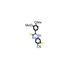 COc1ccc(C(Nc2ccc(C#N)c(F)c2)C(N)=S)cc1OC